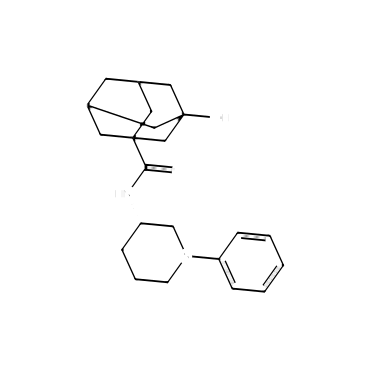 O=C(N[C@H]1CCCN(c2ccccc2)C1)C12CC3CC(CC(O)(C3)C1)C2